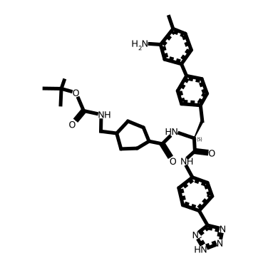 Cc1ccc(-c2ccc(C[C@H](NC(=O)C3CCC(CNC(=O)OC(C)(C)C)CC3)C(=O)Nc3ccc(-c4nn[nH]n4)cc3)cc2)cc1N